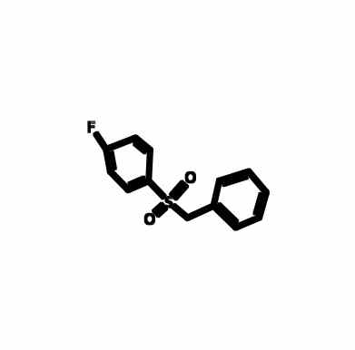 O=S(=O)(Cc1ccccc1)c1ccc(F)cc1